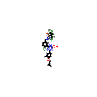 Cc1cc(-c2nc(O)nc(-c3cc(CNC(=O)C(C)(C(F)(F)F)C(F)(F)F)ccc3Cl)n2)ccc1OCC1CC1